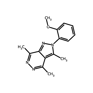 COc1ccccc1-n1nc2c(C)nnc(C)c2c1C